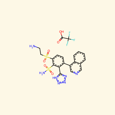 NCCS(=O)(=O)c1ccc(-c2cncc3ccccc23)c(-c2nnn[nH]2)c1S(N)(=O)=O.O=C(O)C(F)(F)F